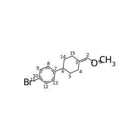 COC=C1CCC(c2ccc(Br)cc2)CC1